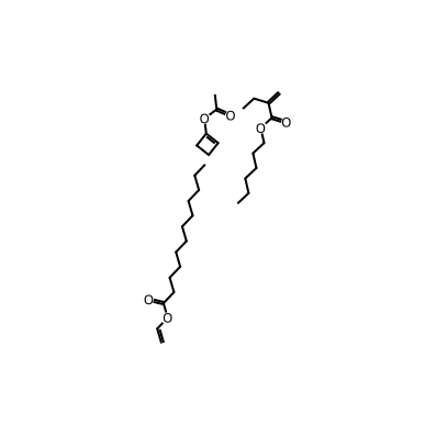 C=C(CC)C(=O)OCCCCCC.C=COC(=O)CCCCCCCCCCC.CC(=O)OC1=CCC1